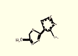 CC1=NN=C(c2csnc2C)[N]1